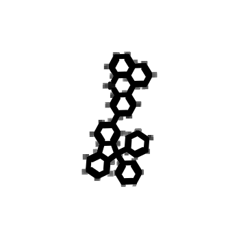 C1=CC(C2(c3ccccc3)c3ccccc3-c3ccc(-c4ccc5c(c4)Oc4cccc6cccc-5c46)cc32)=CCC1